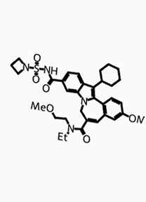 CCN(CCOC)C(=O)C1=Cc2cc(OC)ccc2-c2c(C3CCCCC3)c3ccc(C(=O)NS(=O)(=O)N4CCC4)cc3n2C1